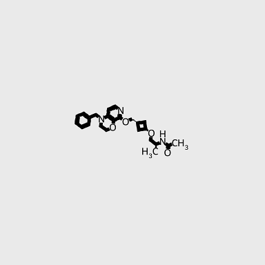 CC(=O)N[C@@H](C)CO[C@H]1C[C@H](COc2nccc3c2OCCN3Cc2ccccc2)C1